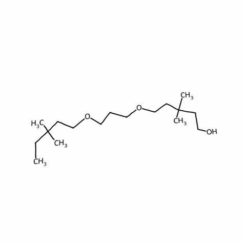 CCC(C)(C)CCOCCCOCCC(C)(C)CCO